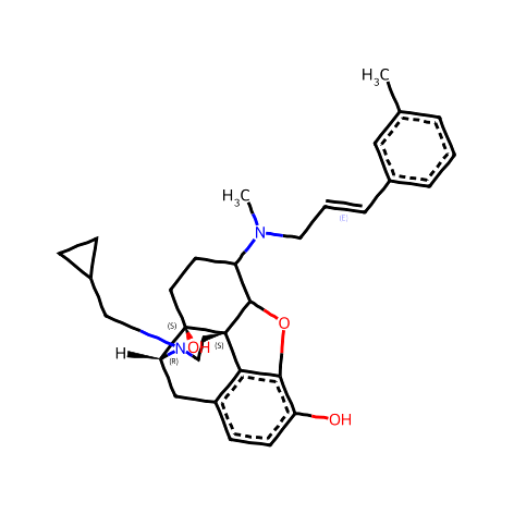 Cc1cccc(/C=C/CN(C)C2CC[C@@]3(O)[C@H]4Cc5ccc(O)c6c5[C@@]3(CCN4CC3CC3)C2O6)c1